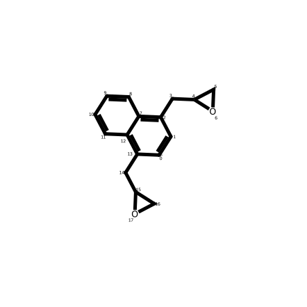 [c]1cc(CC2CO2)c2ccccc2c1CC1CO1